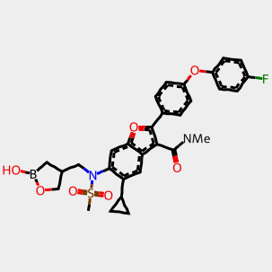 CNC(=O)c1c(-c2ccc(Oc3ccc(F)cc3)cc2)oc2cc(N(CC3COB(O)C3)S(C)(=O)=O)c(C3CC3)cc12